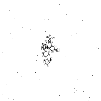 Fc1cccnc1[C@H]1CC[C@H](c2nnc3n2-c2ccc(Cl)cc2CN(C2CCC2)C3)CC1